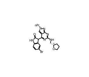 CCCn1cc2c(C3C(=O)Nc4ccc(Br)cc43)nc(NC[C@@H]3CCCO3)nc2n1